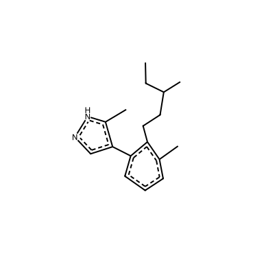 CCC(C)CCc1c(C)cccc1-c1cn[nH]c1C